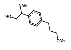 CNC(CO)c1ccc(CCCOC)cc1